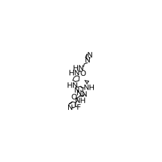 O=C(NCCCn1ccnc1)NC1CCC(Nc2cc(NC3CC3)c3ncc(C(=O)Nc4ccncc4F)n3n2)CC1